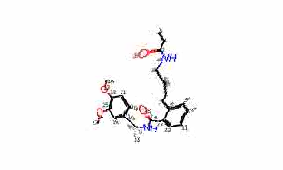 C=CC(=O)NCCCc1ccccc1C(=O)N[C@H](C)c1ccc(OC)c(OC)c1